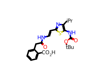 CC(C)c1nc(C=CNC(=O)Cc2ccccc2C(=O)O)sc1NC(=O)OC(C)(C)C